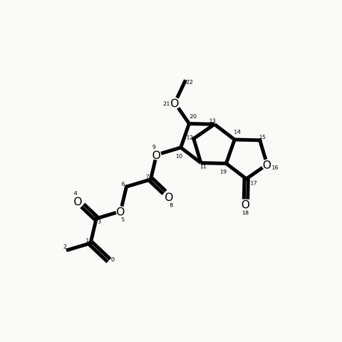 C=C(C)C(=O)OCC(=O)OC1C2CC(C3COC(=O)C32)C1OC